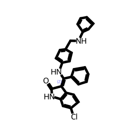 O=C1Nc2cc(Cl)ccc2/C1=C(/Nc1ccc(CNc2ccccc2)cc1)c1ccccc1